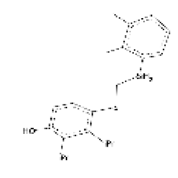 Cc1cccc([SiH2]CSc2ccc(O)c(C(C)C)c2C(C)C)c1C